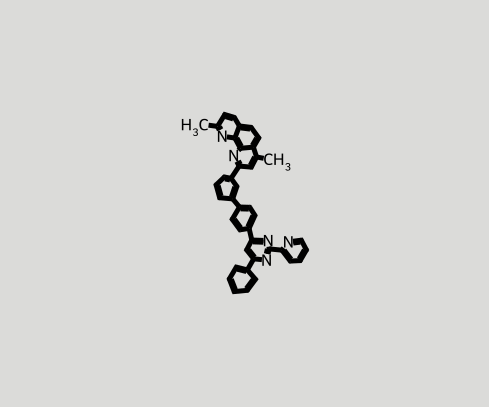 Cc1ccc2ccc3c(C)cc(-c4cccc(-c5ccc(-c6cc(-c7ccccc7)nc(-c7ccccn7)n6)cc5)c4)nc3c2n1